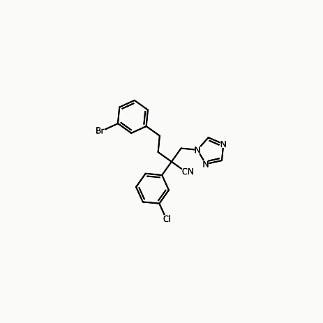 N#CC(CCc1cccc(Br)c1)(Cn1cncn1)c1cccc(Cl)c1